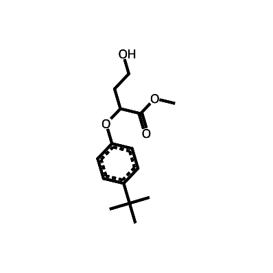 COC(=O)C(CCO)Oc1ccc(C(C)(C)C)cc1